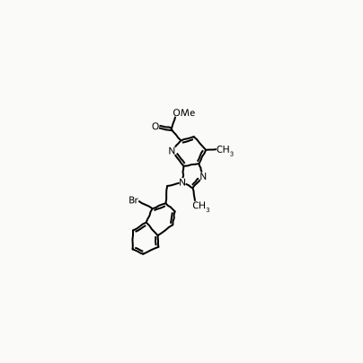 COC(=O)c1cc(C)c2nc(C)n(Cc3ccc4ccccc4c3Br)c2n1